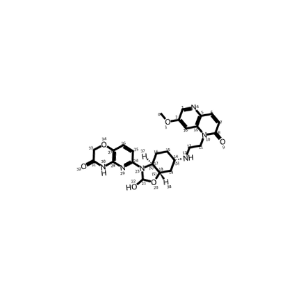 COc1cnc2ccc(=O)n(CCN[C@H]3CC[C@H]4[C@H](C3)OC(O)N4c3ccc4c(n3)NC(=O)CO4)c2c1